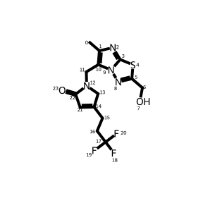 Cc1nc2sc(CO)nn2c1CN1CC(CCC(F)(F)F)=CC1=O